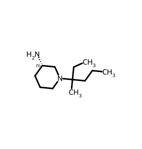 CCCC(C)(CC)N1CCC[C@H](N)C1